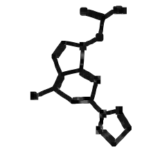 CC(C)(C)C(=O)On1ccc2c(Br)cc(-n3nccn3)nc21